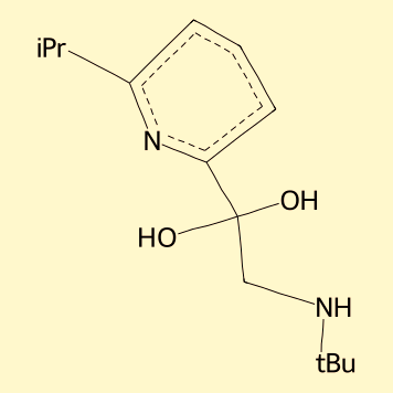 CC(C)c1cccc(C(O)(O)CNC(C)(C)C)n1